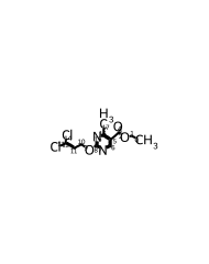 CCOC(=O)c1cnc(OCC=C(Cl)Cl)nc1C